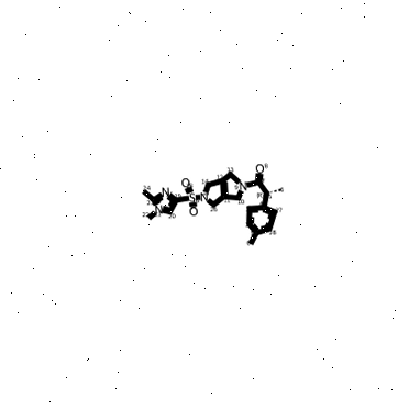 Cc1ccc([C@@H](C)C(=O)N2CC3=C(C2)CN(S(=O)(=O)c2cn(C)c(C)n2)C3)cc1